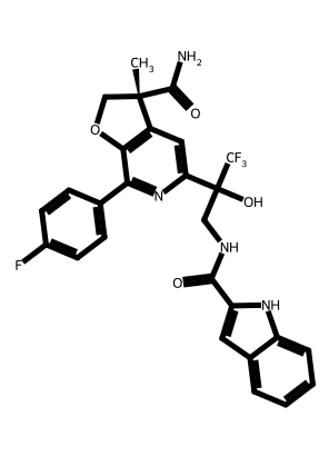 C[C@]1(C(N)=O)COc2c1cc(C(O)(CNC(=O)c1cc3ccccc3[nH]1)C(F)(F)F)nc2-c1ccc(F)cc1